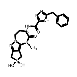 CN1C(=O)[C@@H](NC(=O)c2nnc(Cc3ccccc3)[nH]2)CCn2nc3c(c21)CS(O)(O)C3